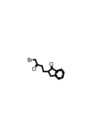 O=C(CBr)CCC1Cc2ccccc2C1=O